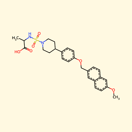 COc1ccc2cc(COc3ccc(C4CCN(S(=O)(=O)NC(C)C(=O)O)CC4)cc3)ccc2c1